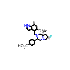 COc1cc(C)c2[nH]ccc2c1CN1C[C@H]2C[C@@H](F)CN2CC1c1ccc(C(=O)O)cc1